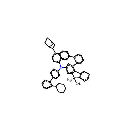 CC1(C)c2ccccc2-c2c(-c3ccccc3-c3ccccc3)cc(N(c3ccc(-c4ccccc4C4CCCCC4)cc3)c3ccc(C4CC5CCC4C5)cc3)cc21